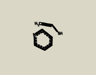 C=CS.c1ccncc1